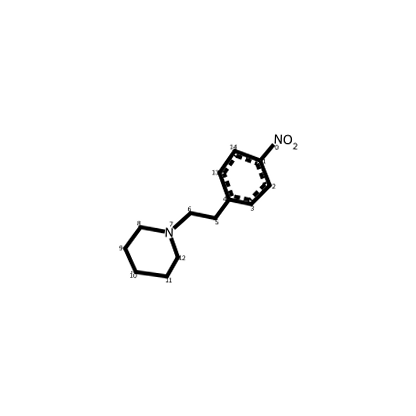 O=[N+]([O-])c1ccc(CCN2CC[CH]CC2)cc1